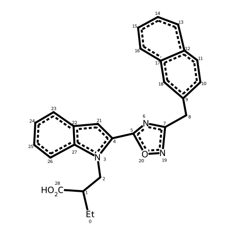 CCC(Cn1c(-c2nc(Cc3ccc4ccccc4c3)no2)cc2ccccc21)C(=O)O